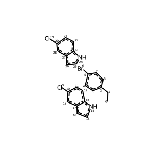 CCc1ccc(Br)cc1.Clc1ccc2[nH]ccc2c1.Clc1ccc2[nH]ccc2c1